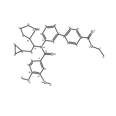 CCOC(=O)c1ccc(-c2cccc(N(C(=O)c3ccc(OC)c(OC)c3)C(CC3CC3)C3CCCN3)c2)cc1